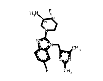 Cc1nc(C)c(Cn2c(N3CC[C@@H](F)[C@H](N)C3)nc3ccc(F)cc32)s1